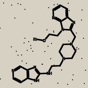 CCOCCn1c(CN2CCN(CCNc3nc4cnccc4[nH]3)CC2)nc2cccnc21